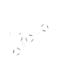 O=C(O)c1cn(Cc2ccccc2)c2ccc(OCc3ccccc3)cc12